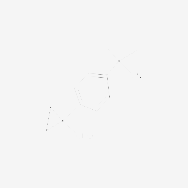 CC(C)(C#N)c1ccc(C2(C=O)CC2)cc1